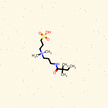 CCC(C)(C)C(=O)NCCC[N+](C)(C)CCCS(=O)(=O)O